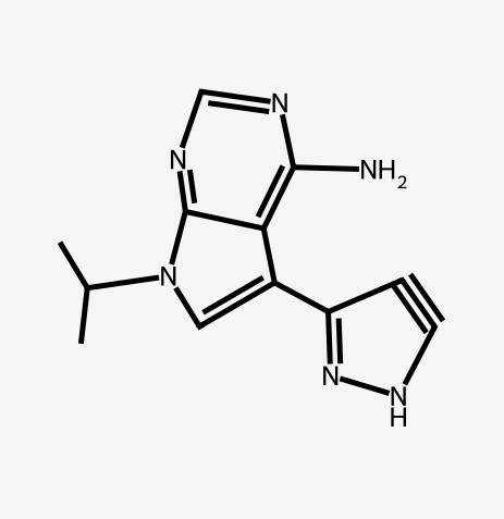 CC(C)n1cc(-c2c#c[nH]n2)c2c(N)ncnc21